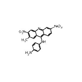 Cc1cc2c(Nc3ccc(N)cc3)c3ccc([N+](=O)[O-])cc3nc2cc1[N+](=O)[O-]